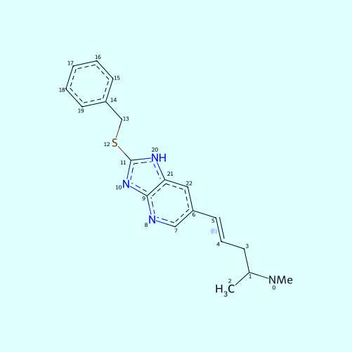 CNC(C)C/C=C/c1cnc2nc(SCc3ccccc3)[nH]c2c1